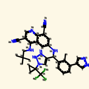 Cc1c(-c2cn[nH]c2)cccc1[C@H](Nc1cc(C#N)c2ncc(C#N)c(NCC(C)(C)C)c2c1)C1=CN(C2(C(F)(F)F)CC2)NN1